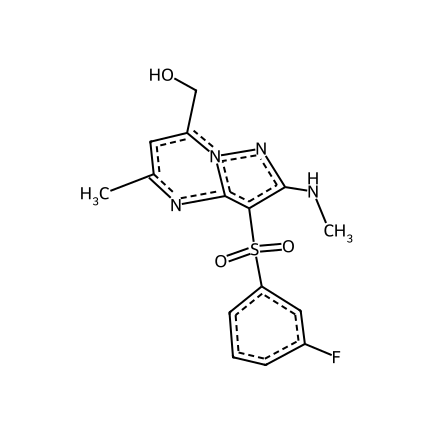 CNc1nn2c(CO)cc(C)nc2c1S(=O)(=O)c1cccc(F)c1